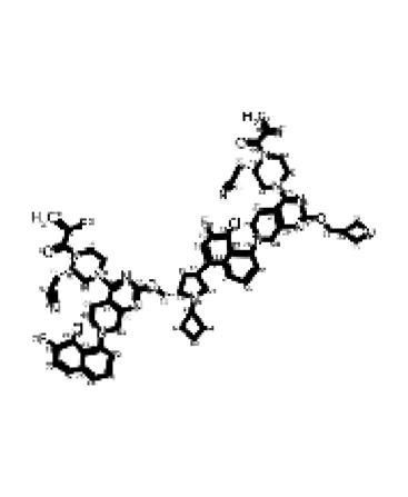 C=C(F)C(=O)N1CCN(c2nc(OC[C@@H]3CC(c4cc(F)c(Cl)c5c(N6CCc7c(nc(OCC8COC8)nc7N7CCN(C(=O)C(=C)F)[C@@H](CC#N)C7)C6)cccc45)CN3C3CCC3)nc3c2CCN(c2cccc4ccc(F)c(Cl)c24)C3)C[C@@H]1CC#N